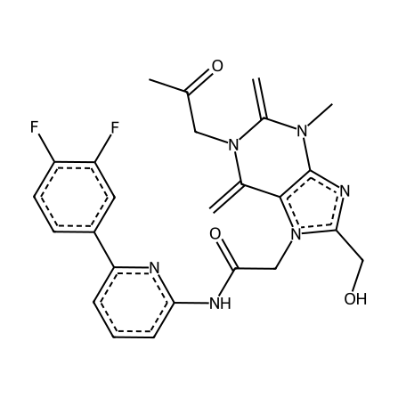 C=C1c2c(nc(CO)n2CC(=O)Nc2cccc(-c3ccc(F)c(F)c3)n2)N(C)C(=C)N1CC(C)=O